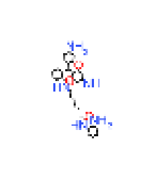 N=c1ccc2c(-c3ccccc3C(=O)NCCCCCCC(=O)Nc3ccccc3N)c3ccc(N)cc3oc-2c1